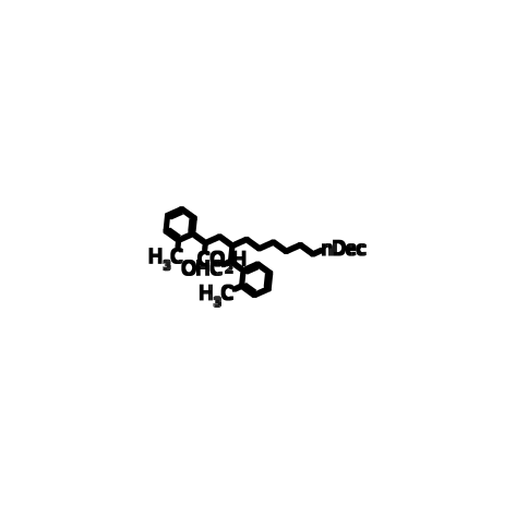 CCCCCCCCCCCCCCCCC(CC(C(=O)O)c1ccccc1C)C(C=O)c1ccccc1C